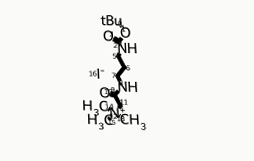 CC(C)(C)OC(=O)NCCCNC(=O)C[N+](C)(C)C.[I-]